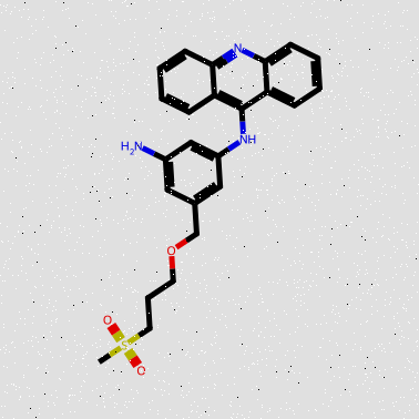 CS(=O)(=O)CCCOCc1cc(N)cc(Nc2c3ccccc3nc3ccccc23)c1